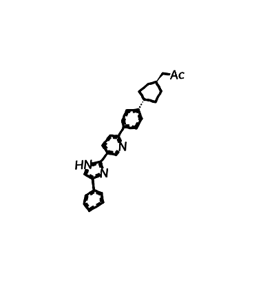 CC(=O)C[C@H]1CC[C@H](c2ccc(-c3ccc(-c4nc(-c5ccccc5)c[nH]4)cn3)cc2)CC1